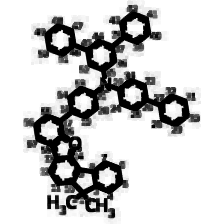 CC1(C)c2ccccc2-c2c1ccc1c2oc2c(-c3ccc(N(c4ccc(-c5ccccc5)cc4)c4cc(-c5ccccc5)cc(-c5ccccc5)c4)cc3)cccc21